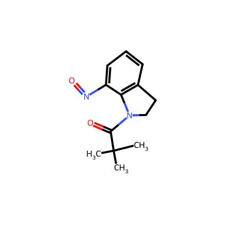 CC(C)(C)C(=O)N1CCc2cccc(N=O)c21